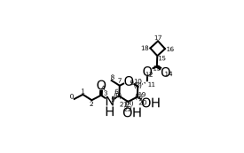 CCCC(=O)N[C@H]1C(C)O[C@H](COC(=O)C2CCC2)[C@@H](O)[C@@H]1O